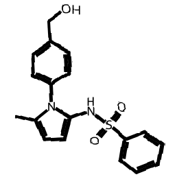 Cc1ccc(NS(=O)(=O)c2ccccc2)n1-c1ccc(CO)cc1